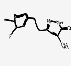 CC1C=CC(CCc2cc(O)c(=O)[nH]n2)=CC1F